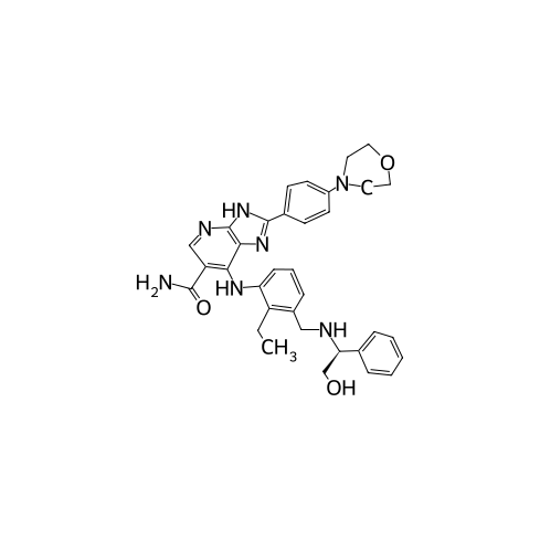 CCc1c(CN[C@H](CO)c2ccccc2)cccc1Nc1c(C(N)=O)cnc2[nH]c(-c3ccc(N4CCOCC4)cc3)nc12